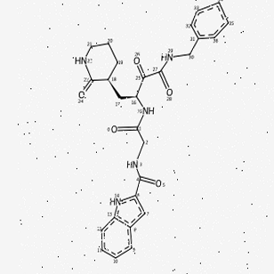 O=C(CNC(=O)c1cc2ccccc2[nH]1)N[C@@H](C[C@@H]1CCCNC1=O)C(=O)C(=O)NCc1ccccc1